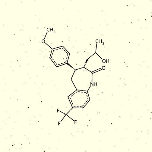 COc1ccc([C@@H]2Cc3cc(C(F)(F)F)ccc3NC(=O)[C@@H]2CC(C)O)cc1